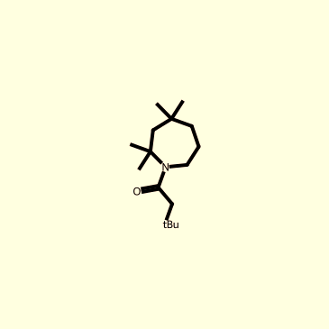 CC(C)(C)CC(=O)N1CCCC(C)(C)CC1(C)C